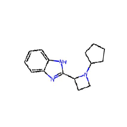 c1ccc2[nH]c(C3CCN3C3CCCC3)nc2c1